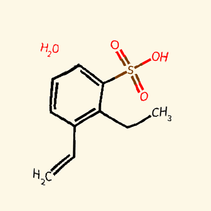 C=Cc1cccc(S(=O)(=O)O)c1CC.O